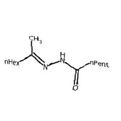 CCCCCC/C(C)=N/NC(=O)CCCCC